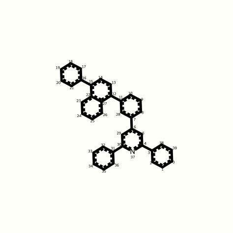 c1ccc(-c2cc(-c3cccc(-c4ccc(-c5ccccc5)c5ccccc45)c3)cc(-c3ccccc3)n2)cc1